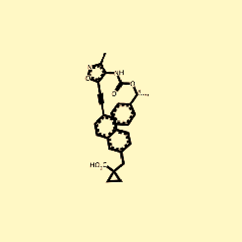 Cc1noc(C#Cc2ccc3cc(CC4(C(=O)O)CC4)ccc3c2)c1NC(=O)O[C@H](C)c1ccccc1